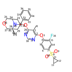 Cc1c(Oc2ccc(S(=O)(=O)C3CC3)cc2F)ncnc1OC1CC2COC[C@@H](C1)N2Cc1ccccc1